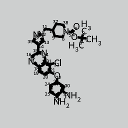 CC(C)(C)OC(=O)N1CCC(Cn2cc(-c3cnc4ccc(Oc5ccc(N)c(N)c5)c(Cl)c4n3)cn2)CC1